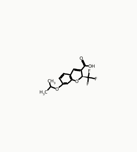 CC(C)Oc1ccc2c(c1)O[C@H](C(F)(F)F)C(C(=O)O)=C2